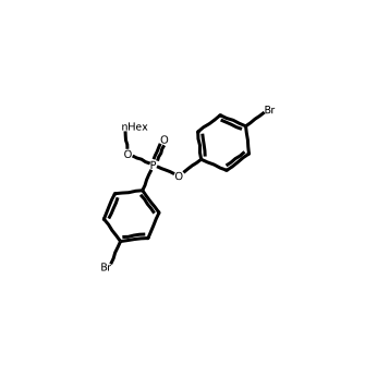 CCCCCCOP(=O)(Oc1ccc(Br)cc1)c1ccc(Br)cc1